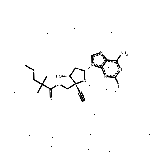 C#C[C@]1(COC(=O)C(C)(C)CCC)O[C@@H](n2cnc3c(N)nc(F)nc32)C[C@@H]1O